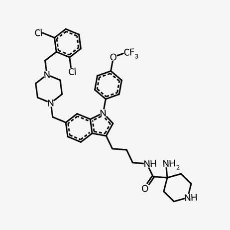 NC1(C(=O)NCCCc2cn(-c3ccc(OC(F)(F)F)cc3)c3cc(CN4CCN(Cc5c(Cl)cccc5Cl)CC4)ccc23)CCNCC1